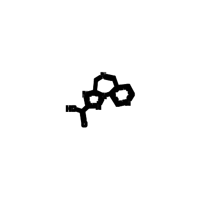 O=C(O)c1nc2n(n1)-c1cnccc1C=NC2